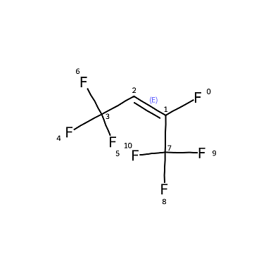 F/C(=C/C(F)(F)F)C(F)(F)F